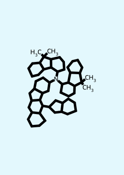 CC1(C)C2CCCCC2C2C(N(C3CCC4CC5CC6CCCCC6C(C6CC7CCCCC7C6)C5C4C3)C3CCCC4C3C3CCCCC3C4(C)C)CCCC21